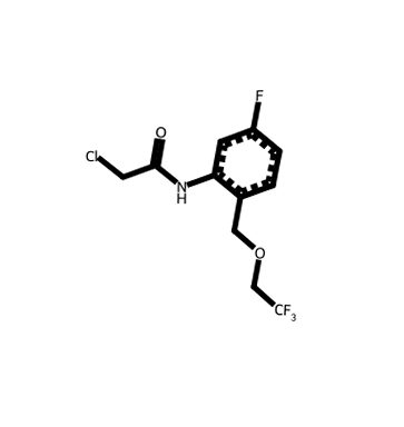 O=C(CCl)Nc1cc(F)ccc1COCC(F)(F)F